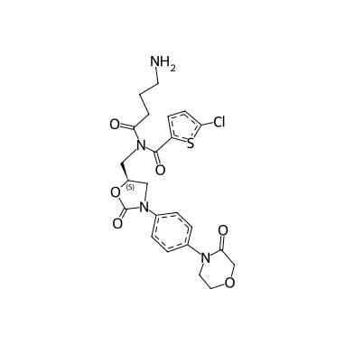 NCCCC(=O)N(C[C@H]1CN(c2ccc(N3CCOCC3=O)cc2)C(=O)O1)C(=O)c1ccc(Cl)s1